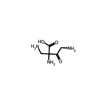 NCC(=O)C(N)(CN)C(=O)O